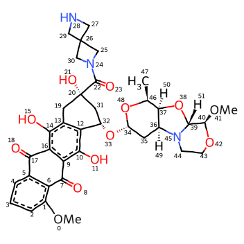 COc1cccc2c1C(=O)c1c(O)c3c(c(O)c1C2=O)C[C@@](O)(C(=O)N1CC2(CNC2)C1)C[C@@H]3O[C@H]1C[C@H]2[C@H](O[C@@H]3[C@@H](OC)OCCN32)[C@H](C)O1